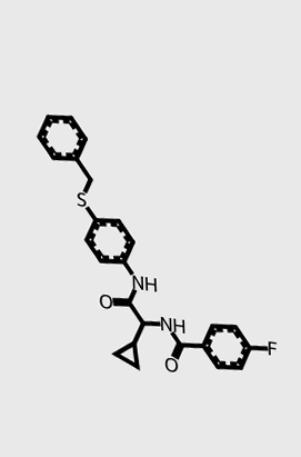 O=C(NC(C(=O)Nc1ccc(SCc2ccccc2)cc1)C1CC1)c1ccc(F)cc1